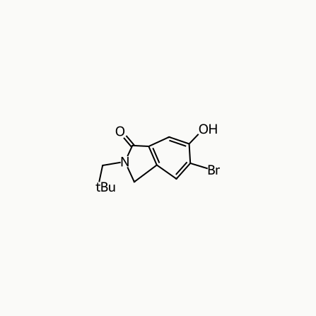 CC(C)(C)CN1Cc2cc(Br)c(O)cc2C1=O